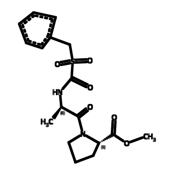 COC(=O)[C@@H]1CCCN1C(=O)[C@@H](C)NC(=O)S(=O)(=O)Cc1ccccc1